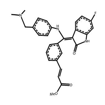 COC(=O)C=Cc1cccc(C(Nc2ccc(CN(C)C)cc2)=C2C(=O)Nc3cc(F)ccc32)c1